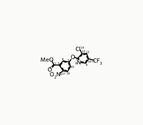 COC(=O)c1cc(Oc2ncc(C(F)(F)F)cc2Cl)ccc1[N+](=O)[O-]